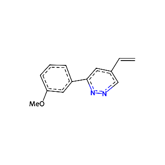 C=Cc1cnnc(-c2cccc(OC)c2)c1